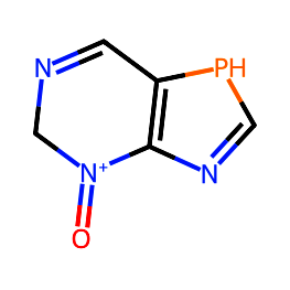 O=[N+]1CN=Cc2[pH]cnc21